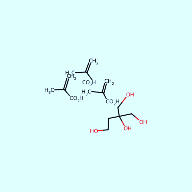 C=C(C)C(=O)O.C=C(C)C(=O)O.C=C(C)C(=O)O.OCCC(O)(CO)CO